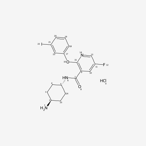 Cl.N[C@H]1CC[C@H](NC(=O)c2cc(F)cnc2Oc2cccc(I)c2)CC1